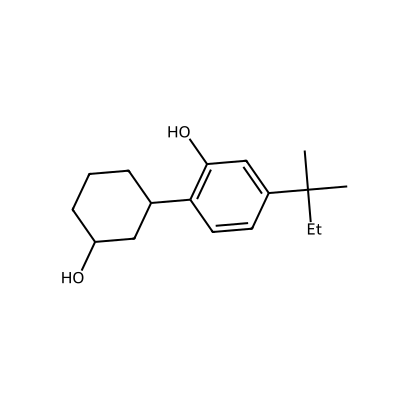 CCC(C)(C)c1ccc(C2CCCC(O)C2)c(O)c1